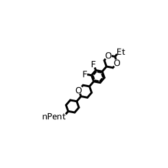 CCCCCC1CCC(C2CCC(c3ccc(C4COC(CC)OC4)c(F)c3F)CO2)CC1